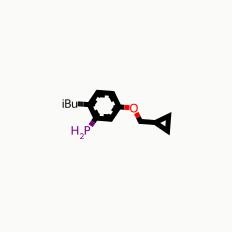 CCC(C)c1ccc(OCC2CC2)cc1P